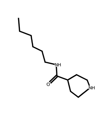 CCCCCCNC(=O)C1CCNCC1